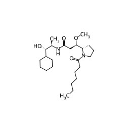 CCCCCCC(=O)N1CCC[C@H]1[C@@H](CC(=O)N[C@H](C)[C@@H](O)C1CCCCC1)OC